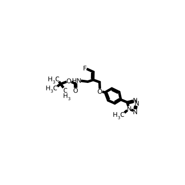 Cn1nnnc1-c1ccc(OC/C(=C/F)CNC(=O)OC(C)(C)C)cc1